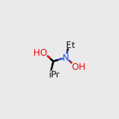 CCN(O)C(O)C(C)C